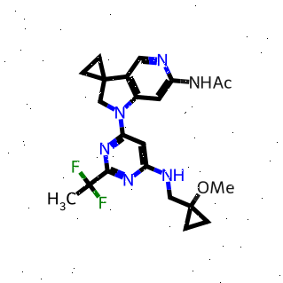 COC1(CNc2cc(N3CC4(CC4)c4cnc(NC(C)=O)cc43)nc(C(C)(F)F)n2)CC1